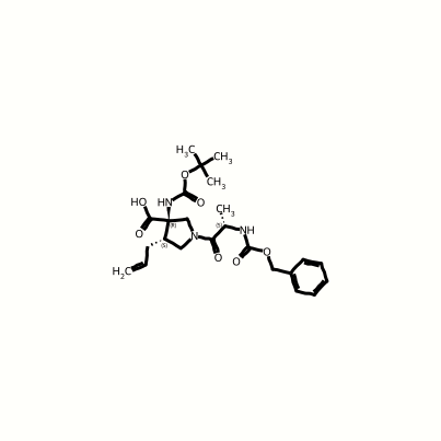 C=CC[C@H]1CN(C(=O)[C@H](C)NC(=O)OCc2ccccc2)C[C@@]1(NC(=O)OC(C)(C)C)C(=O)O